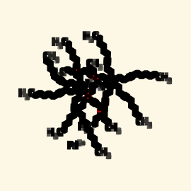 CCCCCCC#CCCc1c(CCC#CCCCCCC)c(CCC#CCCCCCC)c(/N=C(CCCCC)/C(CCCCCCCCCCCCCCCCC)=N/c2c(CCC#CCCCCCC)c(CCC#CCCCCCC)c(CCC#CCCCCCC)c(CCC#CCCCCCC)c2CCC#CCCCCCC)c(CCC#CCCCCCC)c1CCC#CCCCCCC.[Pd+2]